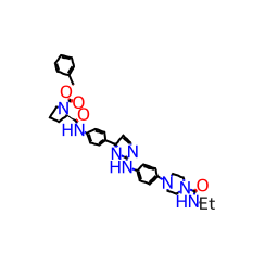 CCNC(=O)N1CCN(c2ccc(Nc3nccc(-c4ccc(NC(=O)[C@H]5CCCN5C(=O)OCc5ccccc5)cc4)n3)cc2)CC1